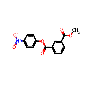 COC(=O)c1cccc(C(=O)Oc2ccc([N+](=O)[O-])cc2)c1